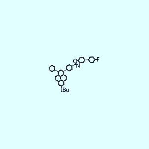 CC(C)(C)c1cc2ccc3c(-c4ccccc4)cc(-c4ccc(-c5nc6cc(-c7ccc(F)cc7)ccc6o5)cc4)c4ccc(c1)c2c34